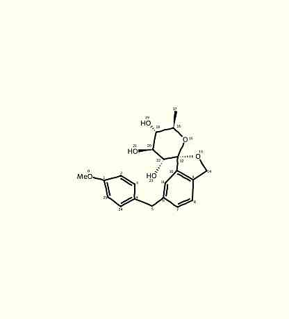 COc1ccc(Cc2ccc3c(c2)[C@]2(OC3)O[C@H](C)[C@@H](O)[C@H](O)[C@H]2O)cc1